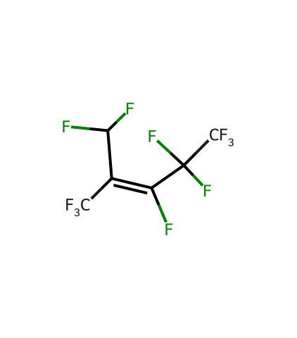 FC(=C(C(F)F)C(F)(F)F)C(F)(F)C(F)(F)F